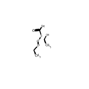 CCO.CCOOOC(=O)O